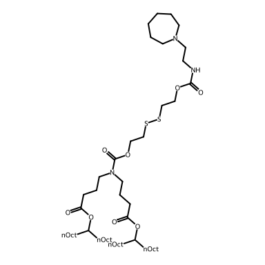 CCCCCCCCC(CCCCCCCC)OC(=O)CCCN(CCCC(=O)OC(CCCCCCCC)CCCCCCCC)C(=O)OCCSSCCOC(=O)NCCN1CCCCCC1